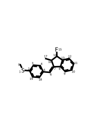 CSc1ccc(C=C2c3ccccc3C(F)C2C)cc1